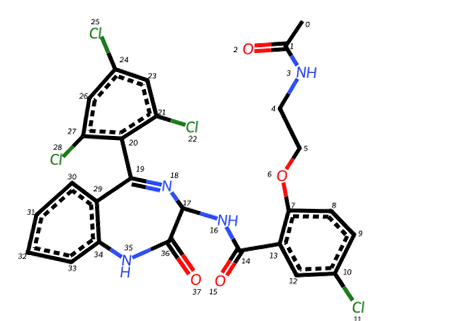 CC(=O)NCCOc1ccc(Cl)cc1C(=O)NC1N=C(c2c(Cl)cc(Cl)cc2Cl)c2ccccc2NC1=O